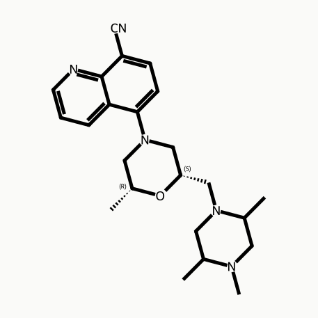 CC1CN(C[C@H]2CN(c3ccc(C#N)c4ncccc34)C[C@@H](C)O2)C(C)CN1C